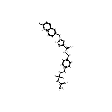 Cc1ccc2cc(Cn3cc(C(=O)NCc4ccc(CCC(C)(C)OC(N)=O)cc4)cn3)ccc2n1